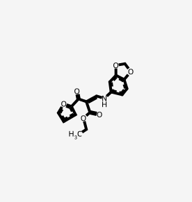 CCOC(=O)/C(=C\Nc1ccc2c(c1)OCO2)C(=O)c1ccco1